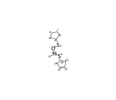 CN(OSC1CCCC1)SC1CC=CC1